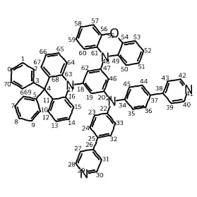 c1ccc(C2(c3ccccc3)c3ccccc3N(c3cc(N(c4ccc(-c5ccncc5)cc4)c4ccc(-c5ccncc5)cc4)cc(N4c5ccccc5Oc5ccccc54)c3)c3ccccc32)cc1